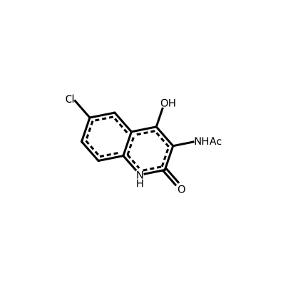 CC(=O)Nc1c(O)c2cc(Cl)ccc2[nH]c1=O